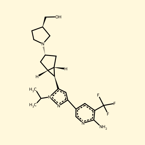 CC(C)n1nc(-c2cnc(N)c(C(F)(F)F)c2)cc1[C@H]1[C@@H]2C[C@H](N3CC[C@@H](CO)C3)C[C@@H]21